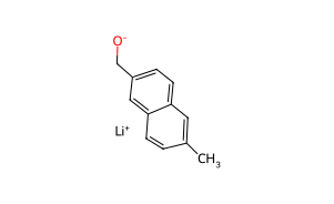 Cc1ccc2cc(C[O-])ccc2c1.[Li+]